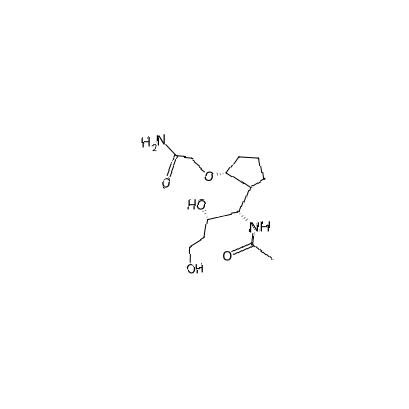 CC(=O)N[C@@H](C1CCC[C@H]1OCC(N)=O)[C@@H](O)CCO